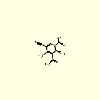 Cc1c(C#N)cc(C(=O)O)c(C)c1C(=O)O